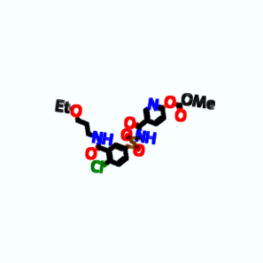 CCOCCCNC(=O)c1cc(S(=O)(=O)NC(=O)c2ccc(OC(=O)OC)nc2)ccc1Cl